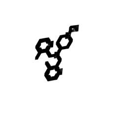 Cc1cccnc1CN(Cc1ncccc1C)C1CCN(C#N)CC1